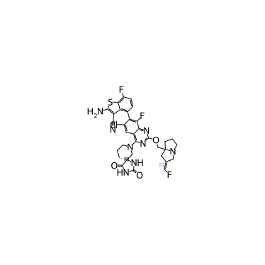 N#Cc1c(N)sc2c(F)ccc(-c3c(Cl)cc4c(N5CCC[C@]6(C5)NC(=O)NC6=O)nc(OCC56CCCN5C/C(=C\F)C6)nc4c3F)c12